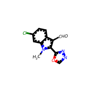 Cn1c(-c2nnco2)c(C=O)c2ccc(Cl)cc21